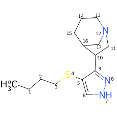 CCCCSc1c[nH]nc1C1CN2CCCC1C2